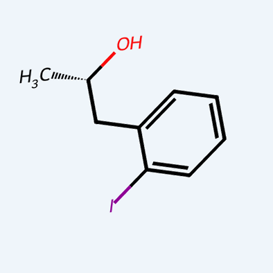 C[C@H](O)Cc1ccccc1I